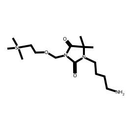 CC1(C)C(=O)N(COCC[Si](C)(C)C)C(=O)N1CCCCN